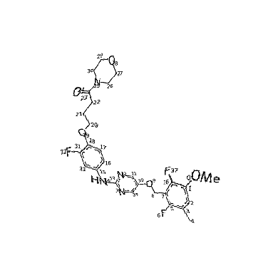 COc1cc(C)c(F)c(COc2cnc(Nc3ccc(OCCCC(=O)N4CCOCC4)c(F)c3)nc2)c1F